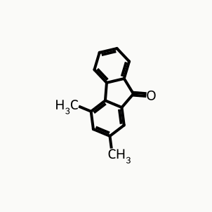 Cc1cc(C)c2c(c1)C(=O)c1ccccc1-2